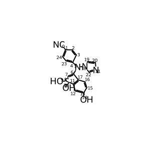 N#Cc1ccc(N(C2=CS(O)(O)c3cc(O)ccc32)n2ccnc2)cc1